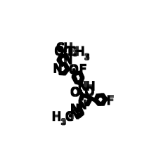 COc1cc2nccc(Oc3ccc(NC(=O)c4cn(-c5ccn(C)n5)cc(-c5ccc(F)cc5)c4=O)cc3F)c2nc1OC